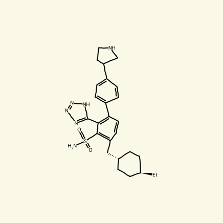 CC[C@H]1CC[C@H](Cc2ccc(-c3ccc(C4CCNC4)cc3)c(-c3nnn[nH]3)c2S(N)(=O)=O)CC1